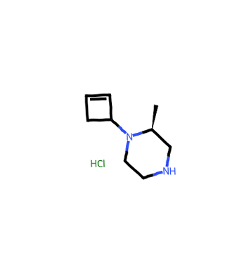 C[C@H]1CNCCN1C1C=CC1.Cl